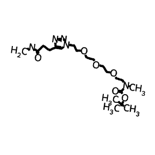 C=NC(=O)CCc1cn(CCOCCOCCOCCN(C)C(=O)OC(C)(C)C)nn1